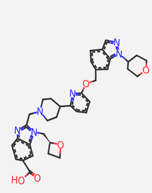 O=C(O)c1ccc2nc(CN3CCC(c4cccc(OCc5ccc6cnn(C7CCOCC7)c6c5)n4)CC3)n(C[C@@H]3CCO3)c2c1